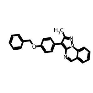 Cc1nn2c(ncc3ccccc32)c1-c1ccc(OCc2ccccc2)cc1